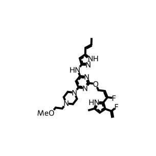 C=C(F)c1cc(C)[nH]c1/C(F)=C\COc1nc(Nc2cc(/C=C/C)[nH]n2)cc(N2CCN(CCOC)CC2)n1